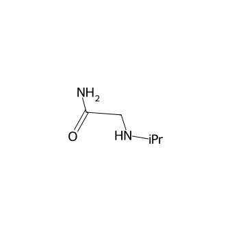 CC(C)NCC(N)=O